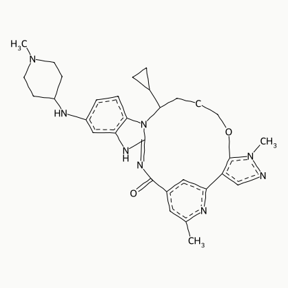 Cc1cc2cc(n1)-c1cnn(C)c1OCCCC(C1CC1)N1/C(=N/C2=O)Nc2cc(NC3CCN(C)CC3)ccc21